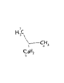 CCC.[CaH2]